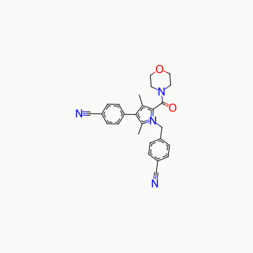 Cc1c(-c2ccc(C#N)cc2)c(C)n(Cc2ccc(C#N)cc2)c1C(=O)N1CCOCC1